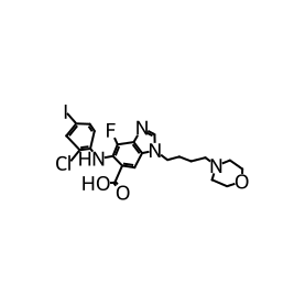 O=C(O)c1cc2c(ncn2CCCCN2CCOCC2)c(F)c1Nc1ccc(I)cc1Cl